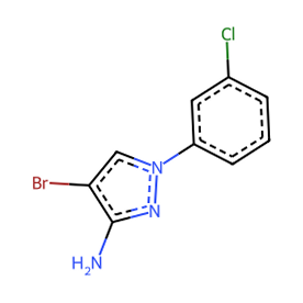 Nc1nn(-c2cccc(Cl)c2)cc1Br